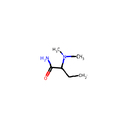 [CH2]CC(C(N)=O)N(C)C